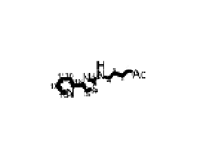 CC(=O)CCCCNc1nc(-c2ccccn2)cs1